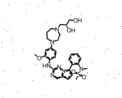 COc1cc(N2CCCN(C[C@H](O)CO)CC2)ccc1Nc1ncc2ccc(-c3ccccc3N(C)S(C)(=O)=O)n2n1